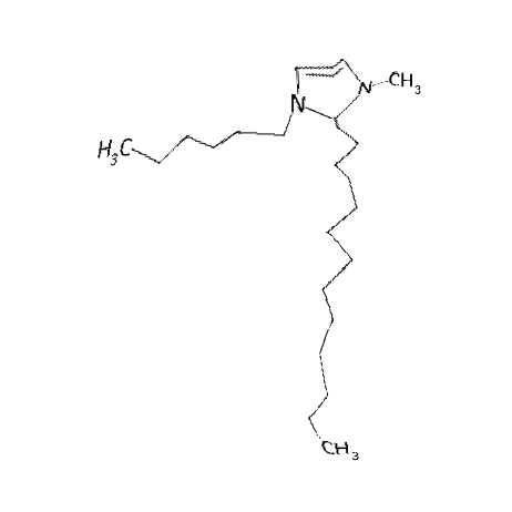 CCCCCCCCCCCC1N(C)C=CN1CCCCCC